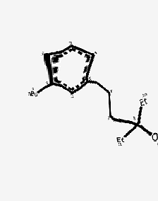 CCCCc1cccc(CCC(O)(CC)CC)c1